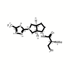 CN[C@@H](CC(C)C)C(=O)N[C@H]1CC[C@@H]2CN(c3nnc(C(F)(F)F)s3)C[C@@H]21